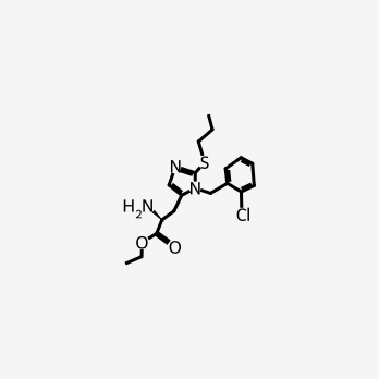 CCCSc1ncc(C[C@H](N)C(=O)OCC)n1Cc1ccccc1Cl